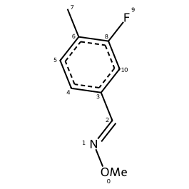 CON=Cc1ccc(C)c(F)c1